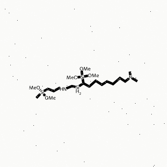 CO[Si](C)(CCCNC[SiH2]C(CCCCCCCN(C)C)[Si](OC)(OC)OC)OC